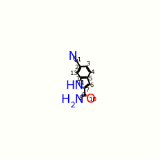 N#Cc1ccc2cc(C(N)=O)[nH]c2c1